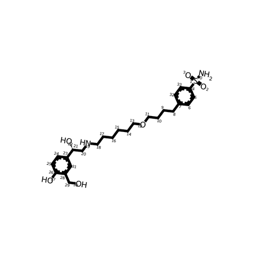 NS(=O)(=O)c1ccc(CCCCOCCCCCCNC[C@@H](O)c2ccc(O)c(CO)c2)cc1